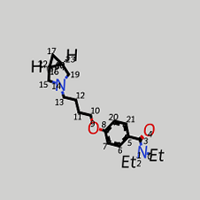 CCN(CC)C(=O)c1ccc(OCCCCN2C[C@H]3C[C@H]3C2)cc1